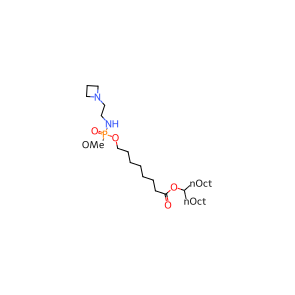 CCCCCCCCC(CCCCCCCC)OC(=O)CCCCCCCOP(=O)(NCCN1CCC1)OC